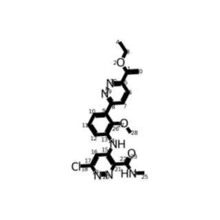 C=C(OCC)c1ccc(-c2cccc(Nc3cc(Cl)nnc3C(=O)NC)c2OC)nn1